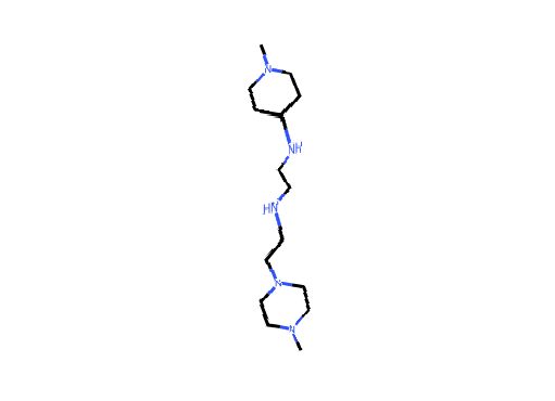 CN1CCC(NCCNCCN2CCN(C)CC2)CC1